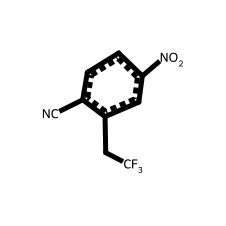 N#Cc1ccc([N+](=O)[O-])cc1CC(F)(F)F